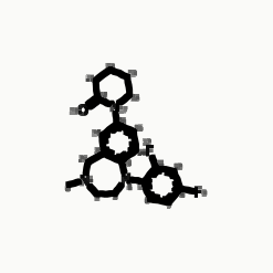 CN1CCN(c2ccc(F)cc2F)c2ccc(N3CCCCC3=O)cc2C1